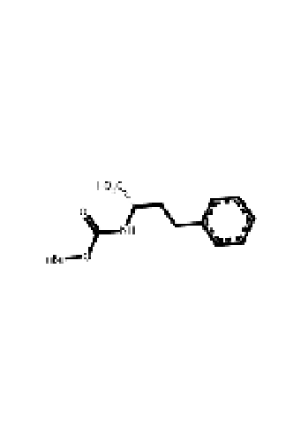 CCCCOC(=O)N[C@@H](CCc1ccccc1)C(=O)O